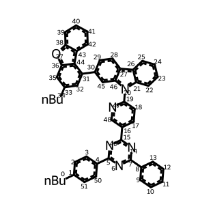 CCCCc1ccc(-c2nc(-c3ccccc3)nc(-c3ccc(-n4c5ccccc5c5ccc(-c6cc(CCCC)cc7oc8ccccc8c67)cc54)nc3)n2)cc1